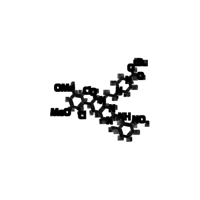 COc1cc(OC)c(Cl)c(-c2cc3cnc(Nc4c(C)cccc4[N+](=O)[O-])nc3n(CCN3CCN(C(=O)OC(C)(C)C)CC3)c2=O)c1Cl